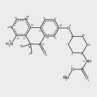 CC(C)(C)OC(=O)NC1CCC(Oc2ccc3c(c2)C(=O)C(C)(C)c2c(N)ncnc2-3)CC1